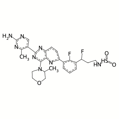 Cc1nc(N)ncc1-c1nc(N2CCOCC2C)c2nc(-c3cccc(C(F)CCN[SH](=O)=O)c3F)ccc2n1